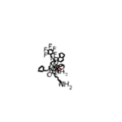 NCCCC[C@H](N)C(=O)N[C@@H](Cc1ccccc1)CN(CC(=O)N(Cc1c(F)c(F)c(F)c(F)c1F)Cc1cccc2ccccc12)C(=O)CC12CC3CC(CC(C3)C1)C2